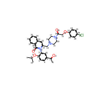 CC(=O)c1ccc(OC(C)C)c(-n2c(CN3CCN(C(=O)COc4ccc(Cl)cc4)CC3)cc3ccccc3c2=O)c1